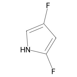 Fc1c[nH]c(F)c1